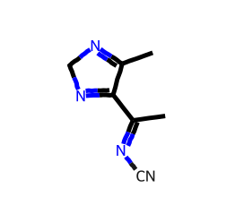 CC1=NCN=C1/C(C)=N/C#N